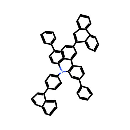 c1ccc(-c2ccc(N(c3ccc(-c4cccc5ccccc45)cc3)c3cc(-c4ccccc4)ccc3-c3cccc(-c4cc5ccccc5c5ccccc45)c3)cc2)cc1